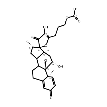 C[C@H]1CC2C3CCC4=CC(=O)C=C[C@]4(C)[C@@]3(Cl)[C@@H](O)C[C@]2(C)[C@@]1(OC(=O)CCCO[N+](=O)[O-])C(=O)CO